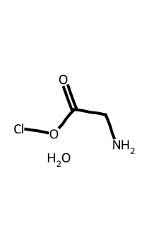 NCC(=O)OCl.O